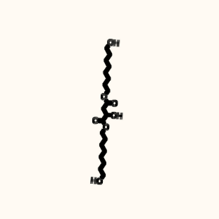 O=C(CC(O)C(=O)OCCCCCCCCO)OCCCCCCCCO